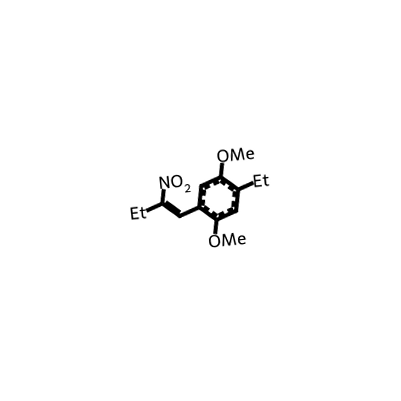 CCC(=Cc1cc(OC)c(CC)cc1OC)[N+](=O)[O-]